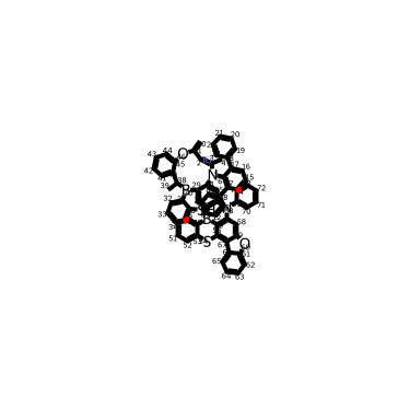 C=C1/C=C(\C)N(c2c(-c3ccccc3)cccc2-c2ccccc2)c2cc3c(cc2B(c2ccccc2S)C(C)c2ccccc2O1)B1c2ccccc2Sc2c1c(cc1oc4ccccc4c21)N3c1ccccc1